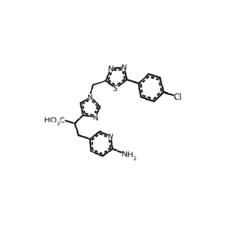 Nc1ccc(CC(C(=O)O)c2cn(Cc3nnc(-c4ccc(Cl)cc4)s3)cn2)cn1